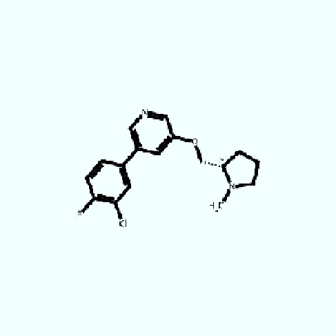 CN1CCC[C@H]1COc1cncc(-c2ccc(F)c(Cl)c2)c1